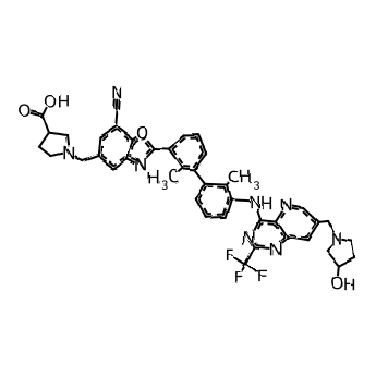 Cc1c(Nc2nc(C(F)(F)F)nc3cc(CN4CCC(O)C4)cnc23)cccc1-c1cccc(-c2nc3cc(CN4CCC(C(=O)O)C4)cc(C#N)c3o2)c1C